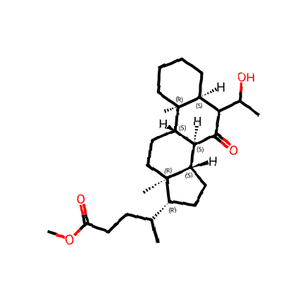 COC(=O)CCC(C)[C@H]1CC[C@H]2[C@@H]3C(=O)C(C(C)O)[C@@H]4CCCC[C@]4(C)[C@H]3CC[C@]12C